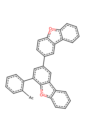 CC(=O)c1ccccc1-c1cc(-c2ccc3oc4ccccc4c3c2)cc2c1oc1ccccc12